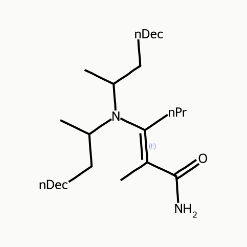 CCCCCCCCCCCC(C)N(/C(CCC)=C(\C)C(N)=O)C(C)CCCCCCCCCCC